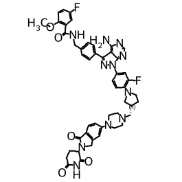 COc1ccc(F)cc1C(=O)NCc1ccc(-c2nn(-c3ccc(N4CC[C@H](CN5CCN(c6ccc7c(c6)CN(C6CCC(=O)NC6=O)C7=O)CC5)C4)c(F)c3)c3ncnc(N)c23)cc1